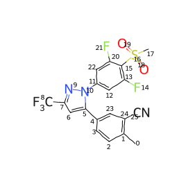 Cc1ccc(-c2cc(C(F)(F)F)nn2-c2cc(F)c(S(C)(=O)=O)c(F)c2)cc1C#N